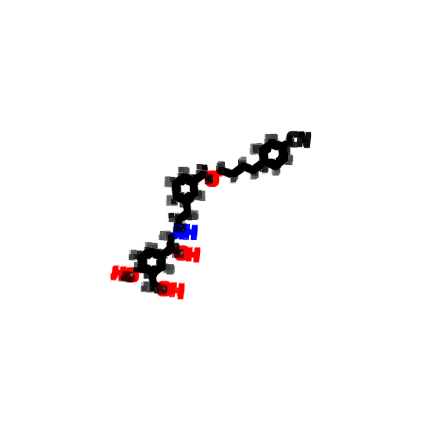 N#Cc1ccc(CCCCOCc2cccc(CCNC[C@H](O)c3ccc(O)c(CO)c3)c2)cc1